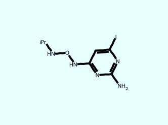 CC(C)NONc1cc(I)nc(N)n1